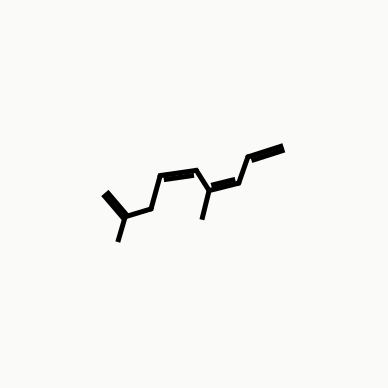 C=C/C=C(C)\C=C/CC(=C)C